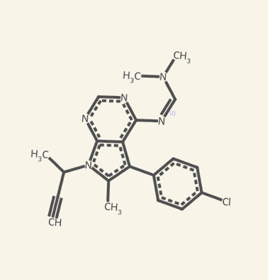 C#CC(C)n1c(C)c(-c2ccc(Cl)cc2)c2c(/N=C\N(C)C)ncnc21